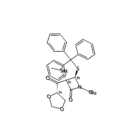 C[SiH](C)[C@@]1(C(=O)[C@@H]2COCO2)C(=O)N(C(C)(C)C)[C@@H]1SC(c1ccccc1)(c1ccccc1)c1ccccc1